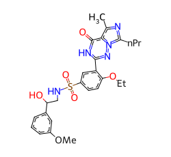 CCCc1nc(C)c2c(=O)[nH]c(-c3cc(S(=O)(=O)NCC(O)c4cccc(OC)c4)ccc3OCC)nn12